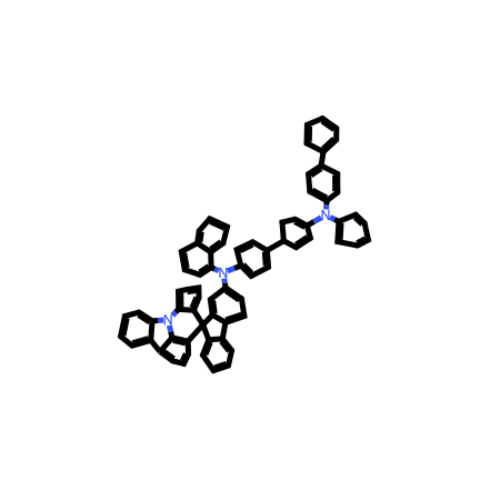 C1=CC(c2ccc(N(c3ccc4c(c3)C3(c5ccccc5-4)c4ccccc4-n4c5ccccc5c5cccc3c54)c3cccc4ccccc34)cc2)CC=C1N(c1ccccc1)c1ccc(-c2ccccc2)cc1